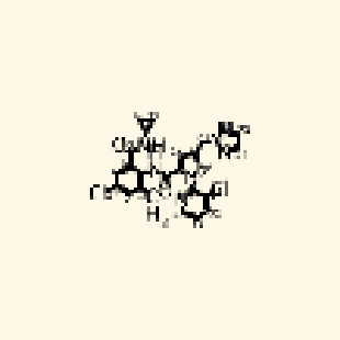 Cc1cc(Cl)cc(C(=O)NC2CC2)c1NC(=O)c1cc(Cn2nccn2)nn1-c1ncccc1Cl